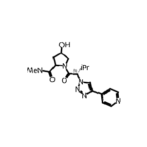 CNC(=O)C1CC(O)CN1C(=O)[C@H](C(C)C)n1cc(-c2ccncc2)nn1